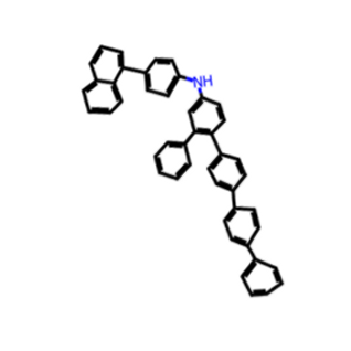 c1ccc(-c2ccc(-c3ccc(-c4ccc(Nc5ccc(-c6cccc7ccccc67)cc5)cc4-c4ccccc4)cc3)cc2)cc1